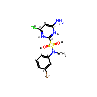 CN(c1cccc(Br)c1)S(=O)(=O)c1nc(N)cc(Cl)n1